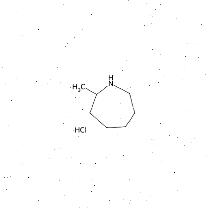 CC1CCCCCN1.Cl